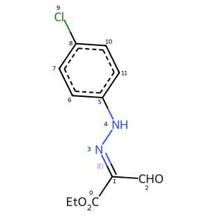 CCOC(=O)/C(C=O)=N/Nc1ccc(Cl)cc1